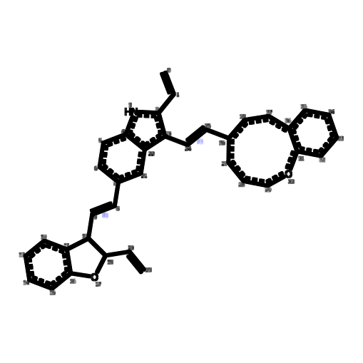 C=Cc1[nH]c2ccc(/C=C/C3c4ccccc4OC3C=C)cc2c1/C=C/c1cccoc2ccccc2cc1